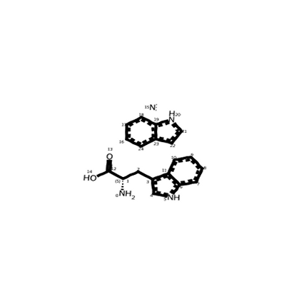 N[C@@H](Cc1c[nH]c2ccccc12)C(=O)O.[N].c1ccc2[nH]ccc2c1